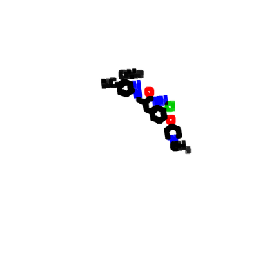 COc1cc(NCc2cc3ccc(OC4CCN(C)CC4)c(Cl)c3[nH]c2=O)ccc1C#N